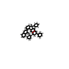 CC1(c2ccccc2)c2ccccc2-c2c(N(c3ccccc3-c3cccc(-c4ccccc4)c3)c3cccc4ccccc34)cccc21